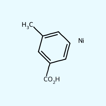 Cc1cccc(C(=O)O)c1.[Ni]